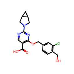 O=C(O)c1cnc(N2CC3CC3C2)nc1OCc1ccc(CO)c(Cl)c1